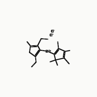 CCC1=[C]([Zr+2][C]2=C(C)C(C)=C(C)C2(C)C)C(CC)=C(C)C1.[Cl-].[Cl-]